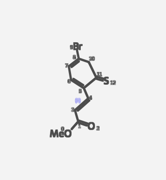 COC(=O)/C=C/C1=CC=C(Br)CC1=S